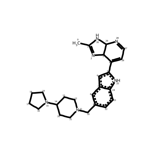 CC1=NC2C(c3cc4cc(CN5CCC(N6CCCC6)CC5)ccc4[nH]3)=CC=NC2N1